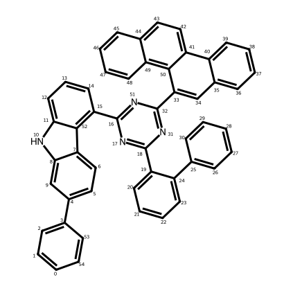 c1ccc(-c2ccc3c(c2)[nH]c2cccc(-c4nc(-c5ccccc5-c5ccccc5)nc(-c5cc6ccccc6c6ccc7ccccc7c56)n4)c23)cc1